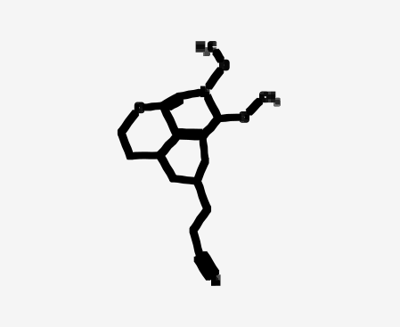 COC1C2=C3C(=CN1OC)OCCC3CC(CCC#N)C2